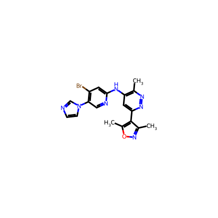 Cc1nnc(-c2c(C)noc2C)cc1Nc1cc(Br)c(-n2ccnc2)cn1